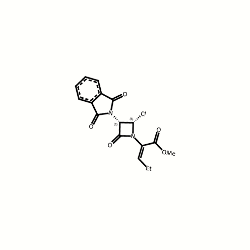 CCC=C(C(=O)OC)N1C(=O)[C@H](N2C(=O)c3ccccc3C2=O)[C@@H]1Cl